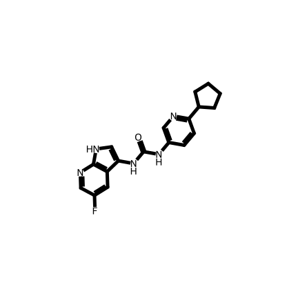 O=C(Nc1ccc(C2CCCC2)nc1)Nc1c[nH]c2ncc(F)cc12